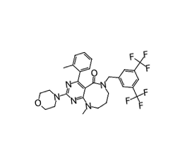 Cc1ccccc1-c1nc(N2CCOCC2)nc2c1C(=O)N(Cc1cc(C(F)(F)F)cc(C(F)(F)F)c1)CCCN2C